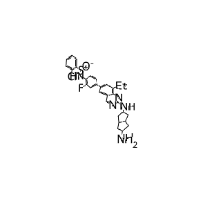 CCc1cc(-c2ccc(N[S+]([O-])c3ccccc3Cl)c(F)c2)cc2cnc(NC3CC4CC(N)CC4C3)nc12